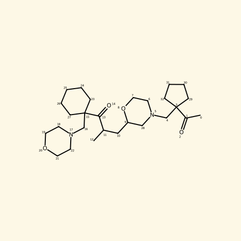 CC(=O)C1(CN2CCOC(CC(C)C(=O)C3(CN4CCOCC4)CCCCC3)C2)CCCC1